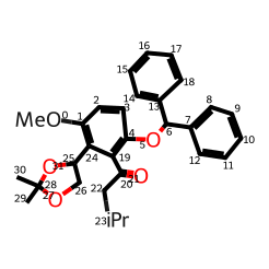 COc1ccc(OC(c2ccccc2)c2ccccc2)c(C(=O)CC(C)C)c1C1COC(C)(C)O1